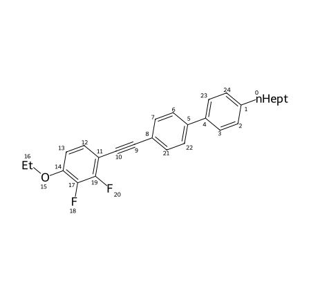 CCCCCCCc1ccc(-c2ccc(C#Cc3ccc(OCC)c(F)c3F)cc2)cc1